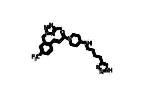 Cc1nnn(Cc2cc(C(F)(F)F)ccc2C=CC(=O)N2CCC(NCCCCc3c[nH]nn3)CC2)n1